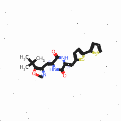 CC(C)(C)c1ocnc1/C=c1\[nH]c(=O)/c(=C/c2ccc(-c3cccs3)s2)[nH]c1=O